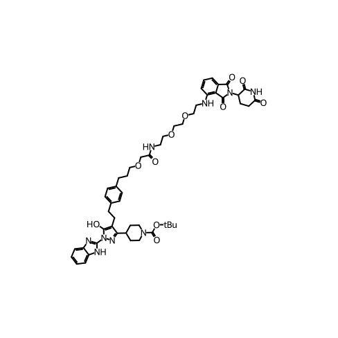 CC(C)(C)OC(=O)N1CCC(c2nn(-c3nc4ccccc4[nH]3)c(O)c2CCc2ccc(CCCOCC(=O)NCCOCCOCCNc3cccc4c3C(=O)N(C3CCC(=O)NC3=O)C4=O)cc2)CC1